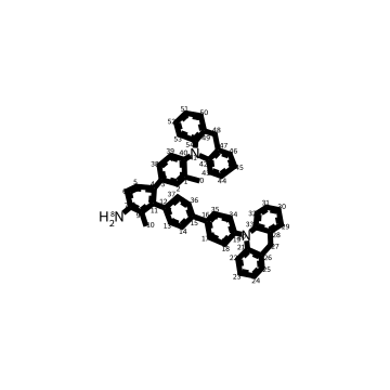 Cc1cc(-c2ccc(N)c(C)c2-c2ccc(-c3ccc(N4c5ccccc5Cc5ccccc54)cc3)cc2)ccc1N1c2ccccc2Cc2ccccc21